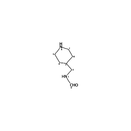 O=CNCC1CCNCC1